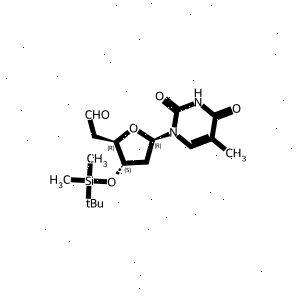 Cc1cn([C@H]2C[C@H](O[Si](C)(C)C(C)(C)C)[C@@H](CC=O)O2)c(=O)[nH]c1=O